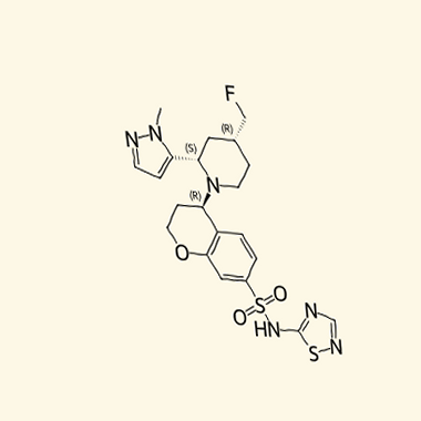 Cn1nccc1[C@@H]1C[C@H](CF)CCN1[C@@H]1CCOc2cc(S(=O)(=O)Nc3ncns3)ccc21